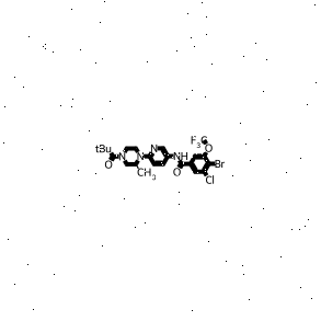 C[C@@H]1CN(C(=O)C(C)(C)C)CCN1c1ccc(NC(=O)c2cc(Cl)c(Br)c(OC(F)(F)F)c2)cn1